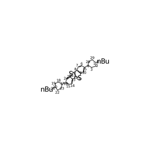 CCCCC1CCC(c2ccc3c(c2)sc2c4ccc(C5CCC(CCCC)CC5)cc4sc32)CC1